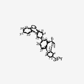 CC(C)c1ccc2c(c1)C(C)(C)c1cc(-c3ccc4oc5ccccc5c4c3)ccc1-2